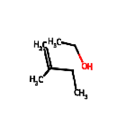 C=C(C)CC.CCO